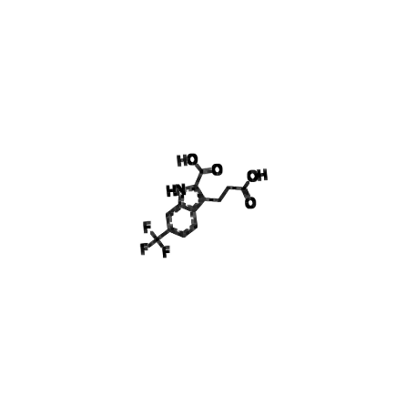 O=C(O)CCc1c(C(=O)O)[nH]c2cc(C(F)(F)F)ccc12